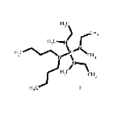 CCCCN(CCCC)[P+](N(C)CC)(N(C)CC)N(C)CC.[I-]